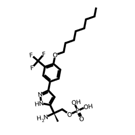 CCCCCCCCOc1ccc(-c2cc([C@@](C)(N)COP(=O)(O)O)[nH]n2)cc1C(F)(F)F